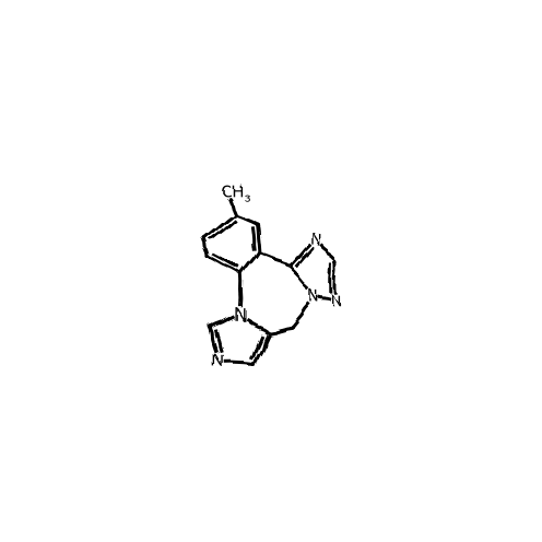 Cc1ccc2c(c1)-c1ncnn1Cc1cncn1-2